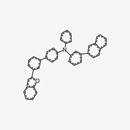 c1ccc(N(c2ccc(-c3cccc(-c4cc5ccccc5o4)c3)cc2)c2cccc(-c3ccc4ccccc4c3)c2)cc1